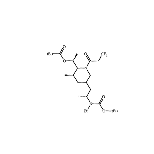 CCN(C(=O)OC(C)(C)C)[C@H](C)CC1C[C@@H](C)C([C@H](C)OC(=O)C(C)(C)C)N(C(=O)CC(F)(F)F)C1